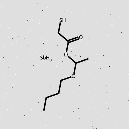 CCCCOC(C)OC(=O)CS.[SbH3]